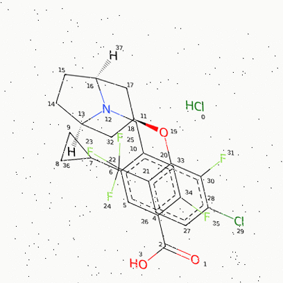 Cl.O=C(O)c1cc(C2CC2)c(CN2[C@@H]3CC[C@H]2C[C@@H](Oc2c(C(F)(F)F)ccc(Cl)c2F)C3)cc1F